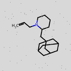 C=CCN1CCCCC1CC12CC3CC(CC(C3)C1)C2